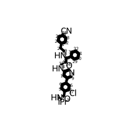 CC(C)NC(=O)c1ccc(-c2cnc3c(c2)NC[C@@H]([C@H](NCCc2ccc(C#N)cc2)c2ccccc2)O3)cc1Cl